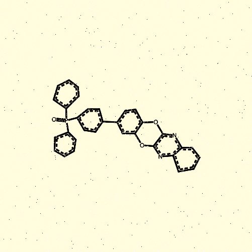 O=P(c1ccccc1)(c1ccccc1)c1ccc(-c2ccc3c(c2)Oc2nc4ccccc4nc2O3)cc1